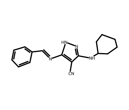 N#Cc1c(NC2CCCCC2)n[nH]c1/N=C/c1ccccc1